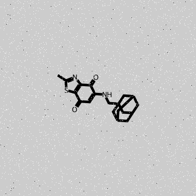 Cc1nc2c(s1)C(=O)C=C(NCC13CC4CC(CC(C4)C1)C3)C2=O